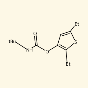 CCc1cc(OC(=O)NC(C)(C)C)c(CC)s1